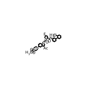 CC(=O)c1cn(CC(=O)N2C[C@H](F)C[C@H]2C(=O)Nc2cccc(-c3ccccc3Cl)c2F)c2ccc(N3CCN(S(C)(=O)=O)CC3)cc12